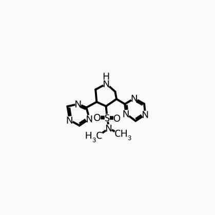 CN(C)S(=O)(=O)C1C(c2ncncn2)CNCC1c1ncncn1